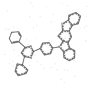 C1=CC(c2cc(-c3ccccc3)nc(-c3ccc(-n4c5ccccc5c5cc6c(cc54)sc4ccccc46)cc3)n2)=CCC1